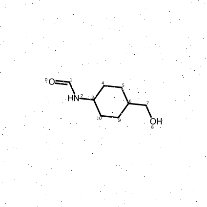 O=CNC1CCC(CO)CC1